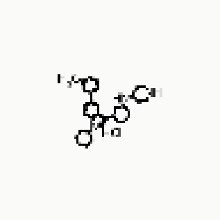 Cc1cccc(-c2ccc3c(c2)c(C2CCCC(NC4CCNCC4)C2)cn3C2CCCCC2)c1.Cl